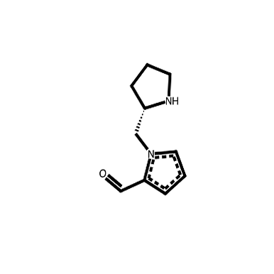 O=Cc1cccn1C[C@@H]1CCCN1